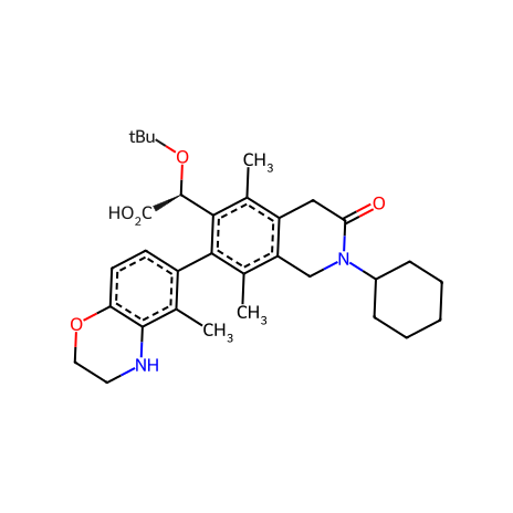 Cc1c(-c2c(C)c3c(c(C)c2[C@H](OC(C)(C)C)C(=O)O)CC(=O)N(C2CCCCC2)C3)ccc2c1NCCO2